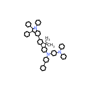 CC1(C)c2cc(-c3ccc4c(c3)c(-c3ccccc3)c(-c3ccccc3)n4-c3ccccc3)ccc2-c2ccc(N(c3ccc(-c4ccccc4)cc3)c3ccc(N(c4ccccc4)c4ccccc4)cc3)cc21